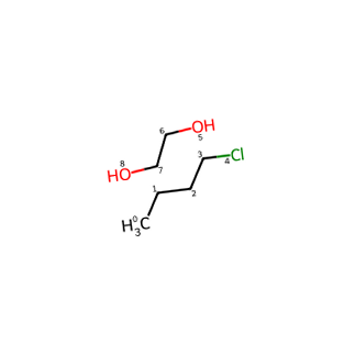 CCCCCl.OCCO